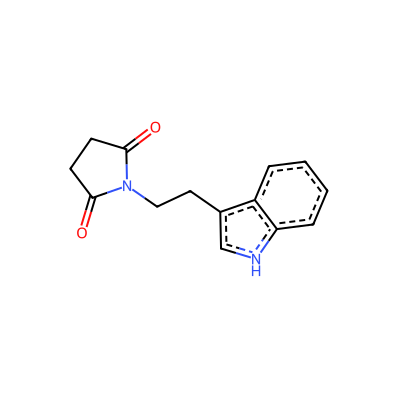 O=C1CCC(=O)N1CCc1c[nH]c2ccccc12